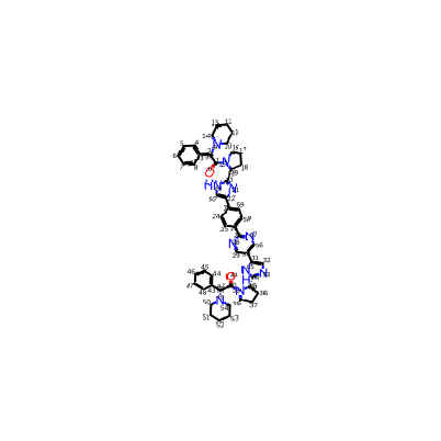 O=C([C@@H](c1ccccc1)N1CCCCC1)N1CCC[C@H]1c1nc(-c2ccc(-c3ncc(-c4cnc([C@@H]5CCCN5C(=O)[C@@H](c5ccccc5)N5CCCCC5)[nH]4)cn3)cc2)c[nH]1